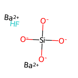 F.[Ba+2].[Ba+2].[O-][Si]([O-])([O-])[O-]